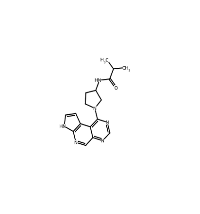 CC(C)C(=O)NC1CCN(c2ncnc3cnc4[nH]ccc4c23)C1